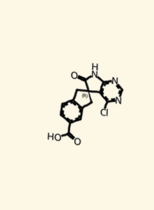 O=C(O)c1ccc2c(c1)C[C@@]1(C2)C(=O)Nc2ncnc(Cl)c21